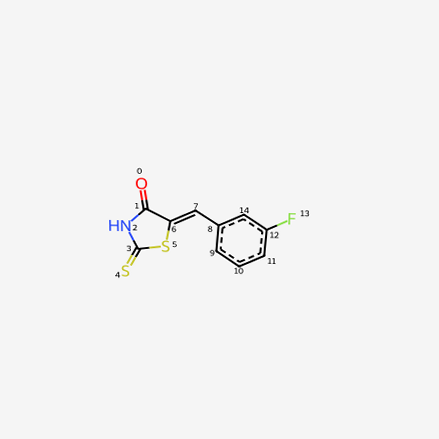 O=C1NC(=S)S/C1=C\c1cccc(F)c1